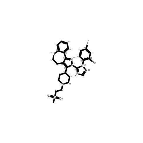 CS(=O)(=O)CCN1CCC(c2c3c(nn2-c2ncnn2-c2ccc(F)cc2F)-c2ccccc2OCC3)CC1